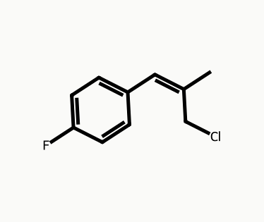 CC(=Cc1ccc(F)cc1)CCl